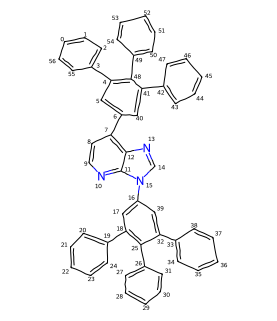 c1ccc(-c2cc(-c3ccnc4c3ncn4-c3cc(-c4ccccc4)c(-c4ccccc4)c(-c4ccccc4)c3)cc(-c3ccccc3)c2-c2ccccc2)cc1